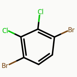 Clc1c(Br)ccc(Br)c1Cl